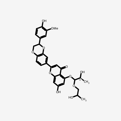 COc1cc(C2COc3ccc(-c4cc(=O)c5c(OC(OCC(C)O)[C@H](C)O)cc(O)cc5o4)cc3O2)ccc1O